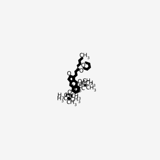 CCCCC[C@H](CCC1=C2C(CC1=O)Cc1c(O[Si](C)(C)C(C)(C)C)cccc1[C@H]2O[Si](C)(C)C(C)(C)C)OC1CCCCO1